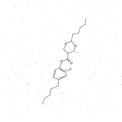 CCCCCc1ccc(OC(=O)C2COC(CCCCC)OC2)c(F)c1